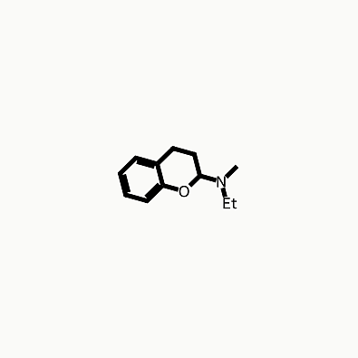 CCN(C)C1CCc2ccccc2O1